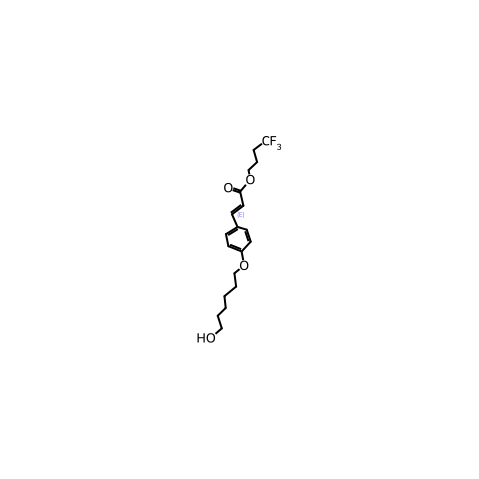 O=C(/C=C/c1ccc(OCCCCCCO)cc1)OCCCC(F)(F)F